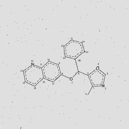 Cc1ncoc1C(Oc1ccc2ncccc2c1)c1ccccc1